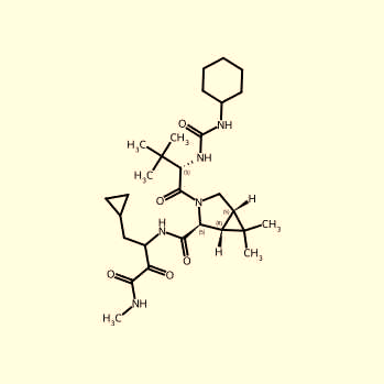 CNC(=O)C(=O)C(CC1CC1)NC(=O)[C@@H]1[C@@H]2[C@H](CN1C(=O)[C@@H](NC(=O)NC1CCCCC1)C(C)(C)C)C2(C)C